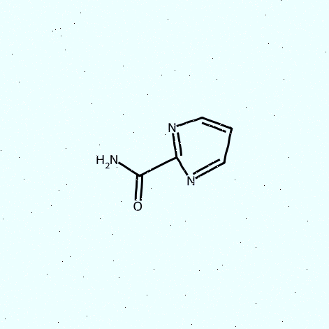 NC(=O)c1ncccn1